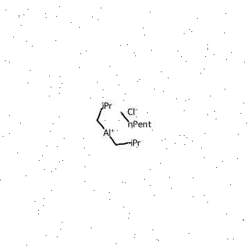 CC(C)[CH2][Al+][CH2]C(C)C.CCCCCC.[Cl-]